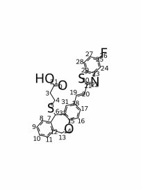 O=C(O)CCSC1c2ccccc2COc2ccc(C=Cc3nc4cc(F)ccc4s3)cc21